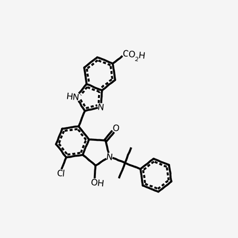 CC(C)(c1ccccc1)N1C(=O)c2c(-c3nc4cc(C(=O)O)ccc4[nH]3)ccc(Cl)c2C1O